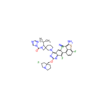 CC(C)C1N(C(=O)n2cncn2)CC12CCCN(c1nc(OC[C@@]34CCCN3C[C@H](F)C4)nc3c(F)c(-c4ccc(F)c5sc(N)c(C#N)c45)c(Cl)cc13)C2